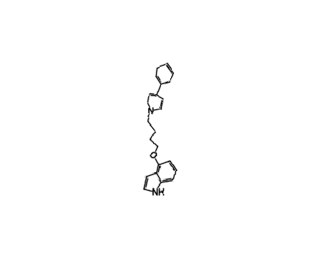 C1=CCC(C2=CCN(CCCCOc3cccc4[nH]ccc34)C=C2)=CC1